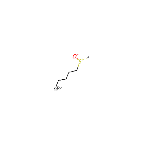 CCCCCCC[S@@+](C)[O-]